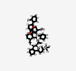 C=C1C2C(CCc3ccc4c(oc5cc(-c6ccccc6F)ccc54)c3-c3n(-c4c(C(C)C)cccc4C(C)C)c4ccccc4[n+]31)c1ccccc1-c1ccc([Si](C)(C)C)c[n+]12